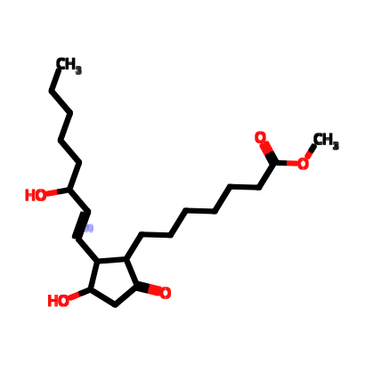 CCCCCC(O)/C=C/C1C(O)CC(=O)C1CCCCCCC(=O)OC